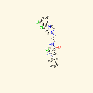 O=C(NCCCN1CCN(c2cccc(Cl)c2Cl)CC1)c1cc(-c2ccccc2)[nH]c1Cl